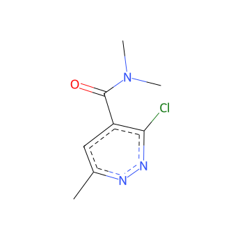 Cc1cc(C(=O)N(C)C)c(Cl)nn1